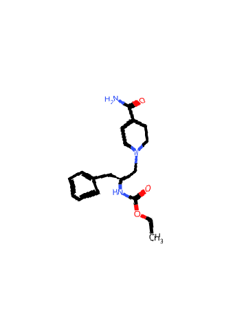 CCOC(=O)N[C@@H](Cc1ccccc1)CN1CCC(C(N)=O)CC1